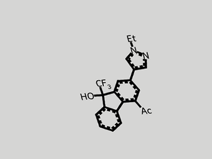 CCn1cc(-c2cc(C(C)=O)c3c(c2)C(O)(C(F)(F)F)c2ccccc2-3)cn1